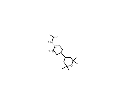 CC(C)N[C@@H]1CCN(C2CC(C)(C)OC(C)(C)C2)C[C@@H]1F